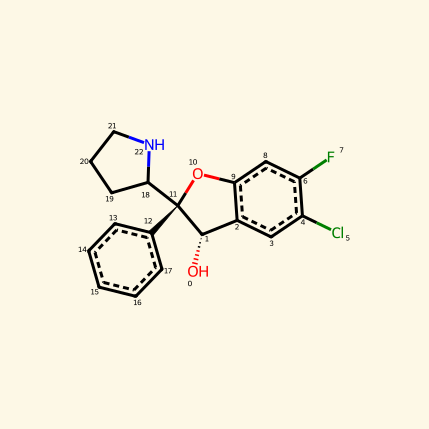 O[C@H]1c2cc(Cl)c(F)cc2O[C@@]1(c1ccccc1)C1CCCN1